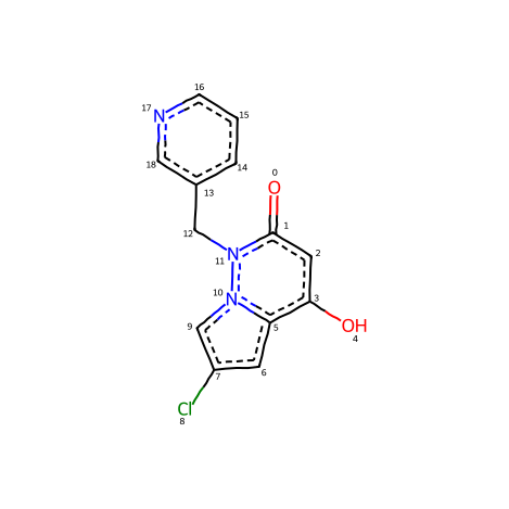 O=c1cc(O)c2cc(Cl)cn2n1Cc1cccnc1